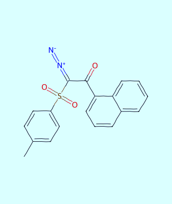 Cc1ccc(S(=O)(=O)C(=[N+]=[N-])C(=O)c2cccc3ccccc23)cc1